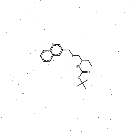 CCC(CSCc1cnc2ccccc2c1)NC(=O)OC(C)(C)C